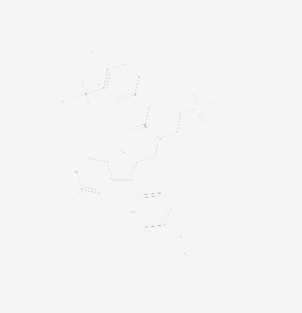 CCS(=O)(=O)CCN(C(=O)Cc1ccc(F)c(C(F)(F)F)c1)[C@H](C)c1nc2ccc(F)cn2c1-c1ccc(C#N)cc1